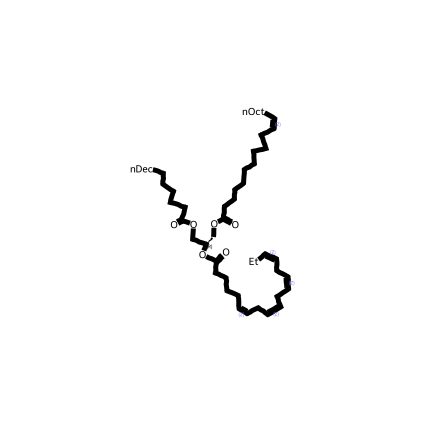 CC/C=C\C/C=C\C/C=C\C/C=C\CCCCC(=O)O[C@@H](COC(=O)CCCCCCCCC/C=C\CCCCCCCC)COC(=O)CCCCCCCCCCCCCCC